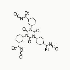 CCC(N=C=O)C1CCC(n2c(=O)n(C3CCCC(C(CC)N=C=O)C3)c(=O)n(C3CCCC(C(CC)N=C=O)C3)c2=O)CC1